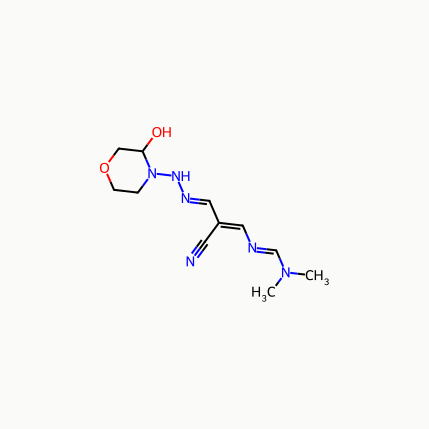 CN(C)C=NC=C(C#N)C=NNN1CCOCC1O